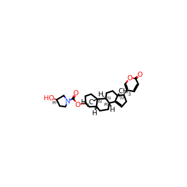 C[C@]12CC[C@H](OC(=O)N3CC[C@@H](O)C3)C[C@H]1CC[C@H]1C3=CC[C@H](c4ccc(=O)oc4)[C@@]3(C)CC[C@@H]12